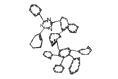 C1=C(c2nc(-c3ccccc3)nc(-c3ccc4ccccc4c3-c3cccc(-c4cc(-c5ccccc5)c(-c5ccccc5)c(-c5ccccc5)c4-c4ccccc4)c3)n2)CCCC1